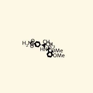 COc1cccc(C(=O)N[C@H]2[C@H](C3C=CC(S(N)(=O)=O)=CC3)C2(C)C)c1OC